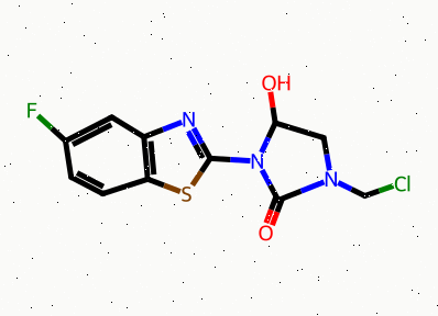 O=C1N(CCl)CC(O)N1c1nc2cc(F)ccc2s1